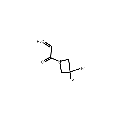 C=CC(=O)N1CC(C(C)C)(C(C)C)C1